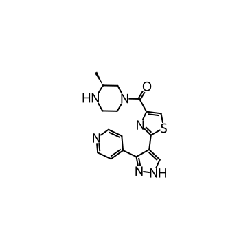 C[C@H]1CN(C(=O)c2csc(-c3c[nH]nc3-c3ccncc3)n2)CCN1